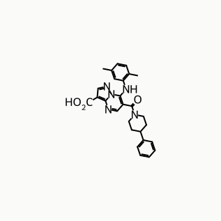 Cc1ccc(C)c(Nc2c(C(=O)N3CCC(c4ccccc4)CC3)cnc3c(C(=O)O)cnn23)c1